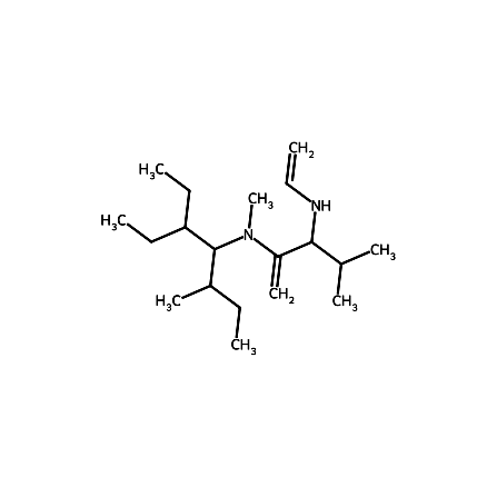 C=CNC(C(=C)N(C)C(C(C)CC)C(CC)CC)C(C)C